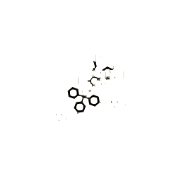 CCCCC=COC1C(O)[C@H](COC(c2ccccc2)(c2ccc(OC)cc2)c2ccc(OC)cc2)O[C@@H]1n1ccc(=O)[nH]c1=O